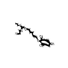 CCCSC(COCCCCCOc1c(Cl)cc(O)cc1Cl)SCCC